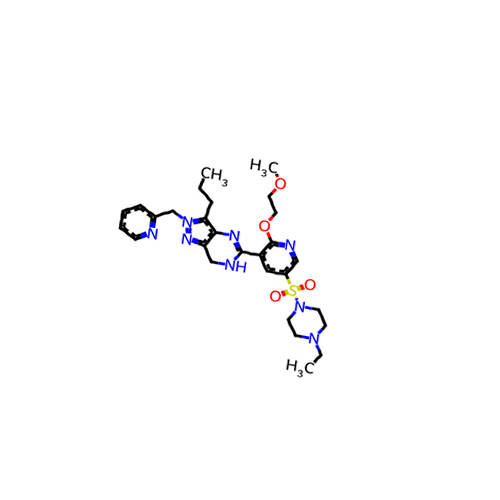 CCCc1c2c(nn1Cc1ccccn1)CNC(c1cc(S(=O)(=O)N3CCN(CC)CC3)cnc1OCCOC)=N2